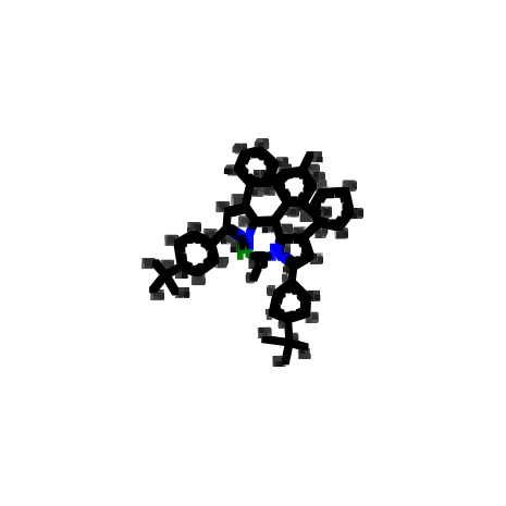 CB(F)n1c(-c2ccc(C(C)(C)C)cc2)cc(-c2ccccc2)c1/C(=C1\N=C(c2ccc(C(C)(C)C)cc2)C=C1c1ccccc1)c1c(C)cc(C)cc1C